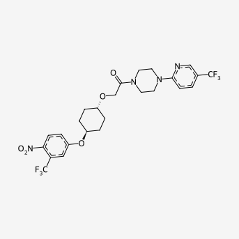 O=C(CO[C@H]1CC[C@H](Oc2ccc([N+](=O)[O-])c(C(F)(F)F)c2)CC1)N1CCN(c2ccc(C(F)(F)F)cn2)CC1